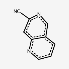 N#Cc1cc2ncccc2cn1